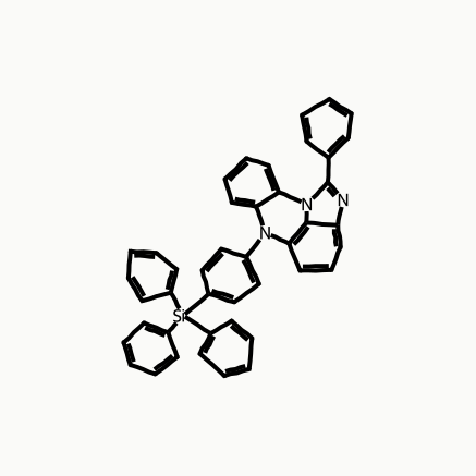 c1ccc(-c2nc3cccc4c3n2-c2ccccc2N4c2ccc([Si](c3ccccc3)(c3ccccc3)c3ccccc3)cc2)cc1